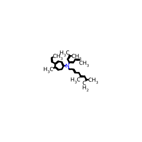 C=C(C)/C=C(\C)C/C=C/CN(C1=CC=C(/C=C\C)C(C)=CC1)/C(C=C(C)C)=C/C=C\C